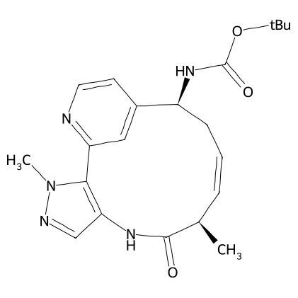 C[C@@H]1C=CC[C@H](NC(=O)OC(C)(C)C)c2ccnc(c2)-c2c(cnn2C)NC1=O